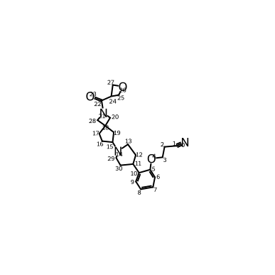 N#CCCOc1ccccc1C1CCN(C2CCC3(C2)CN(C(=O)C2COC2)C3)CC1